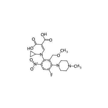 COCc1c(N2CCN(C)CC2)c(F)cc([N+](=O)[O-])c1N(C=C(C(=O)O)C(=O)O)C1CC1